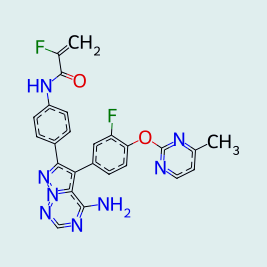 C=C(F)C(=O)Nc1ccc(-c2nn3ncnc(N)c3c2-c2ccc(Oc3nccc(C)n3)c(F)c2)cc1